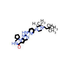 CC(C)(C)CCN1CCN(c2ccc(Nc3ncc4cc5n(c4n3)C3(CCCC3)CNC5=O)nc2)CC1(C)C